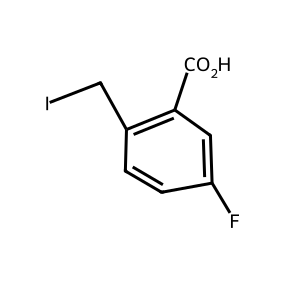 O=C(O)c1cc(F)ccc1CI